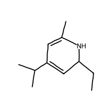 CCC1C=C(C(C)C)C=C(C)N1